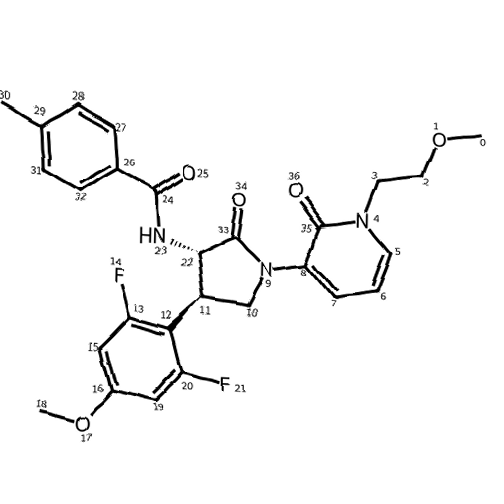 COCCn1cccc(N2C[C@@H](c3c(F)cc(OC)cc3F)[C@H](NC(=O)c3ccc(C)cc3)C2=O)c1=O